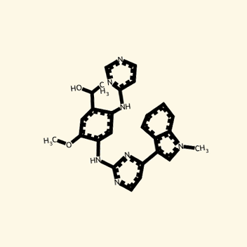 COc1cc(C(C)O)c(Nc2ccncn2)cc1Nc1nccc(-c2cn(C)c3ccccc23)n1